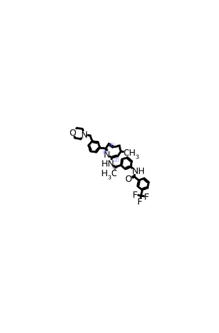 CC1\C=C(N[C@@H](C)c2cccc(NC(=O)c3cccc(C(F)(F)F)c3)c2)/N=C(c2cccc(CN3CCOCC3)c2)\C=C\C1